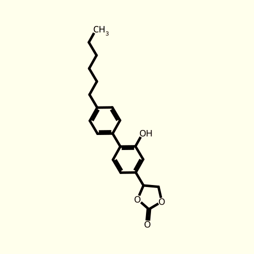 CCCCCCc1ccc(-c2ccc(C3COC(=O)O3)cc2O)cc1